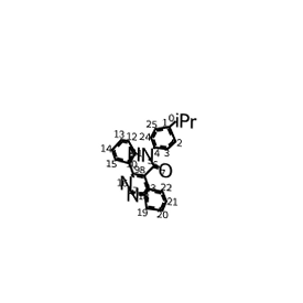 CC(C)c1ccc(NC(=O)c2c(-c3ccccc3)nnc3ccccc23)cc1